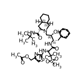 CC(=O)OCc1csc(N[C@H](C(=O)N[C@@H](Cc2ccccc2)[C@H](O)CN2C[C@H]3CCCC[C@H]3C[C@H]2C(=O)NC(C)(C)C)C(C)(C)S(C)(=O)=O)n1